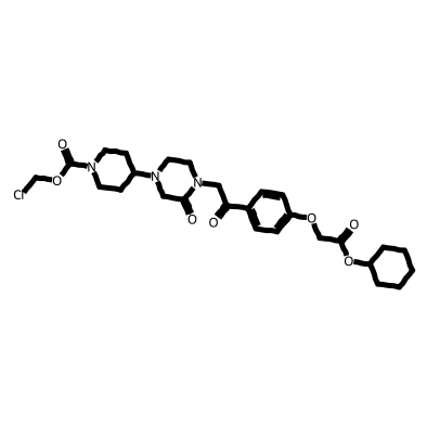 O=C(COc1ccc(C(=O)CN2CCN(C3CCN(C(=O)OCCl)CC3)CC2=O)cc1)OC1CCCCC1